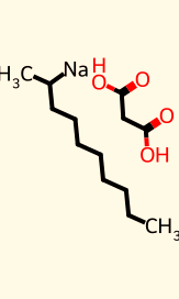 CCCCCCCC[CH](C)[Na].O=C(O)CC(=O)O